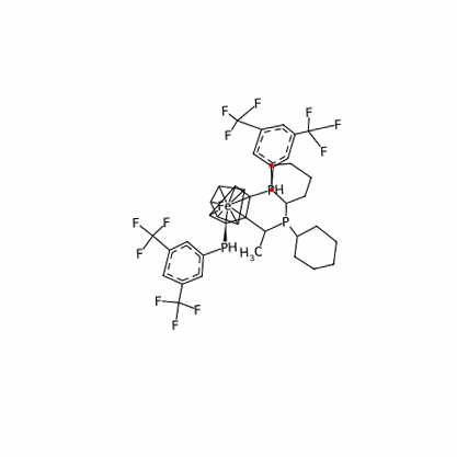 CC(P(C1CCCCC1)C1CCCCC1)[C]12[C]3(Pc4cc(C(F)(F)F)cc(C(F)(F)F)c4)[CH]4[CH]5[C@]1(Pc1cc(C(F)(F)F)cc(C(F)(F)F)c1)[Fe]45321678[CH]2[CH]1[CH]6[CH]7[CH]28